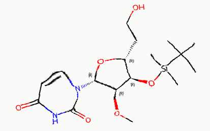 CO[C@@H]1[C@H](O[Si](C)(C)C(C)(C)C)[C@@H](CCO)O[C@H]1n1ccc(=O)[nH]c1=O